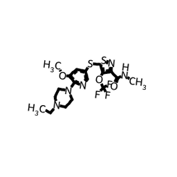 CCN1CCN(c2ncc(Sc3snc(C(=O)NC)c3OC(F)(F)F)cc2OC)CC1